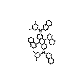 CC1=CC(N(c2ccc3ccccc3c2)c2ccc3c(-c4cccc5ccccc45)c4cc(N(c5cc(C)cc(C)c5)c5ccc6ccccc6c5)ccc4c(-c4cccc5ccccc45)c3c2)=CC(C)C1